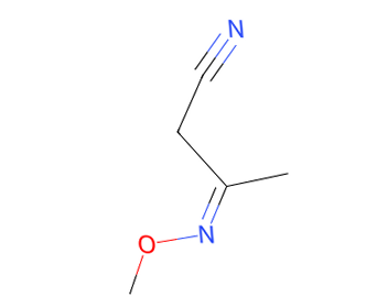 CON=C(C)CC#N